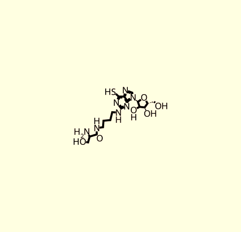 NC(CO)C(=O)NCCCCNc1nc(S)c2ncn([C@@H]3O[C@H](CO)[C@H](O)C3O)c2n1